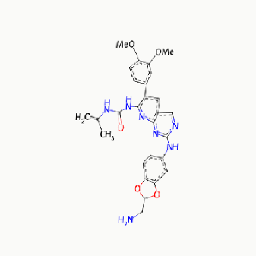 C=C(C)NC(=O)Nc1nc2nc(Nc3ccc4c(c3)OC(CN)O4)ncc2cc1-c1ccc(OC)c(OC)c1